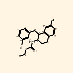 CCOC(=O)NC1CCc2ccc(O)cc2C1Cc1cccc(Cl)c1